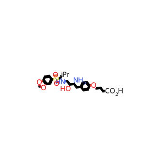 CC(C)C(NC[C@@H](O)[C@@H](N)Cc1ccc(OCCCC(=O)O)cc1)S(=O)(=O)c1ccc2c(c1)OCO2